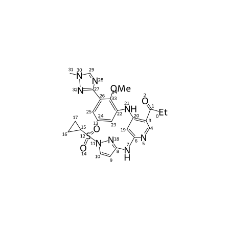 CCC(=O)c1cnc(Nc2ccn(S(=O)(=O)C3CC3)n2)cc1Nc1cccc(-c2ncn(C)n2)c1OC